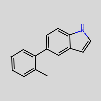 Cc1cc[c]cc1-c1ccc2[nH]ccc2c1